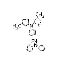 Cc1cccc(N(c2ccc(/C=N/N(c3ccccc3)c3ccccc3)cc2)c2cccc(C)c2)c1